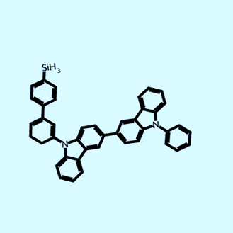 [SiH3]c1ccc(C2=CCCC(n3c4ccccc4c4cc(-c5ccc6c(c5)c5ccccc5n6-c5ccccc5)ccc43)=C2)cc1